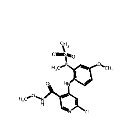 CONC(=O)c1cnc(Cl)cc1Nc1ccc(OC)cc1N(C)S(C)(=O)=O